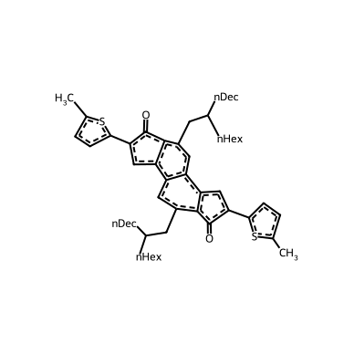 CCCCCCCCCCC(CCCCCC)Cc1cc2c3cc(-c4ccc(C)s4)c(=O)c3c(CC(CCCCCC)CCCCCCCCCC)cc2c2cc(-c3ccc(C)s3)c(=O)c12